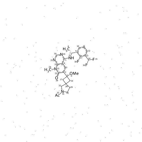 COC1(c2cc3c(N[C@H](C)c4cccc(C(F)F)c4F)ncnc3n(C)c2=O)CC2(CCN(C(C)=O)C2)C1